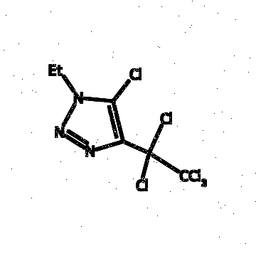 CCn1nnc(C(Cl)(Cl)C(Cl)(Cl)Cl)c1Cl